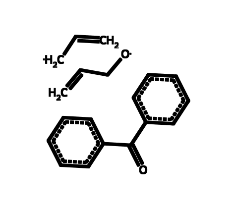 C=CC[O].O=C(c1ccccc1)c1ccccc1.[CH2]C=C